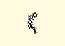 CN(c1ccc(NC(=O)Nc2ccccc2)cc1)S(=O)(=O)c1ccc(C2CC2)s1